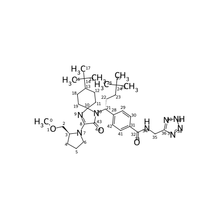 COC[C@@H]1CCCN1C1=NC2(CCC(C(C)(C)C)CC2)N([C@H](CCC(C)(C)C)c2ccc(C(=O)NCc3nn[nH]n3)cc2)C1=O